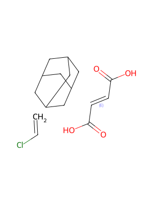 C1C2CC3CC1CC(C2)C3.C=CCl.O=C(O)/C=C/C(=O)O